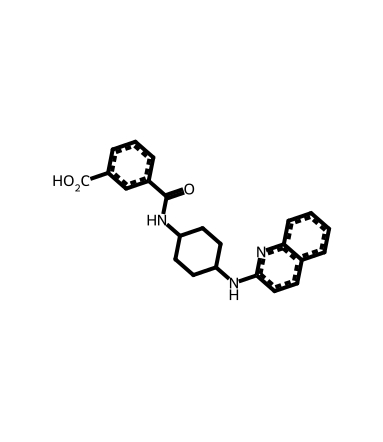 O=C(O)c1cccc(C(=O)NC2CCC(Nc3ccc4ccccc4n3)CC2)c1